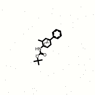 CC1CC2(c3ccccc3)CCC1(NC(=O)OC(C)(C)C)CC2